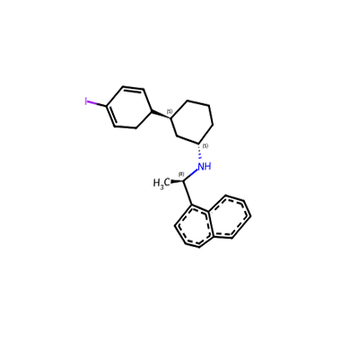 C[C@@H](N[C@H]1CCC[C@H](C2C=CC(I)=CC2)C1)c1cccc2ccccc12